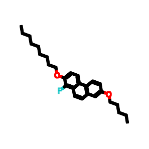 CCCCCCCCCOc1ccc2c(ccc3cc(OCCCCC)ccc32)c1F